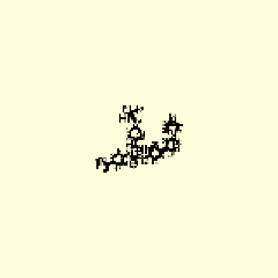 C/C(=N\I)c1ccc(NC(=O)[C@H](Cc2ccc(-c3ccnc(N4CCN(C)CC4)c3)cc2)NC(=O)[C@H]2CC[C@H](CNC(=O)I)CC2)cc1